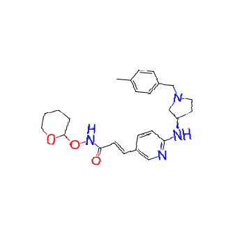 Cc1ccc(CN2CC[C@@H](Nc3ccc(C=CC(=O)NOC4CCCCO4)cn3)C2)cc1